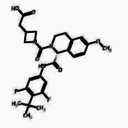 COc1ccc2c(c1)CCN(C(=O)N1CC(CC(=O)O)C1)[C@H]2C(=O)Nc1cc(F)c([Si](C)(C)C)c(F)c1